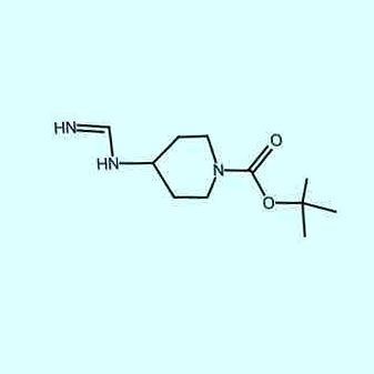 CC(C)(C)OC(=O)N1CCC(NC=N)CC1